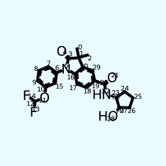 CC1(C)C(=O)N(c2cccc(OC(F)F)c2)c2ccc(C(=O)N[C@H]3CCC[C@H]3O)cc21